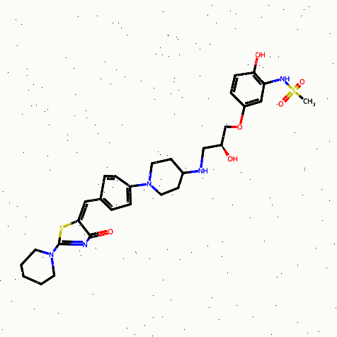 CS(=O)(=O)Nc1cc(OC[C@@H](O)CNC2CCN(c3ccc(/C=C4/SC(N5CCCCC5)=NC4=O)cc3)CC2)ccc1O